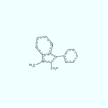 Cn1c(C(=O)O)c(-c2ccccc2)c2ccccc21